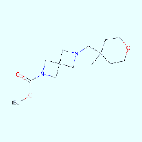 CC1(CN2CC3(C2)CN(C(=O)OC(C)(C)C)C3)CCOCC1